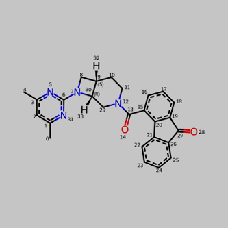 Cc1cc(C)nc(N2C[C@@H]3CCN(C(=O)c4cccc5c4-c4ccccc4C5=O)C[C@@H]32)n1